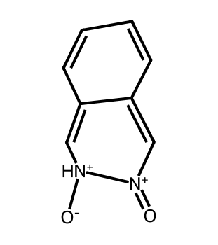 O=[N+]1C=c2ccccc2=C[NH+]1[O-]